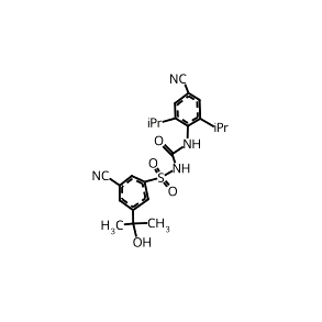 CC(C)c1cc(C#N)cc(C(C)C)c1NC(=O)NS(=O)(=O)c1cc(C#N)cc(C(C)(C)O)c1